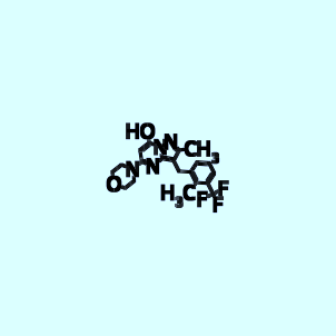 Cc1nn2c(O)cc(N3CCOCC3)nc2c1Cc1cccc(C(F)(F)F)c1C